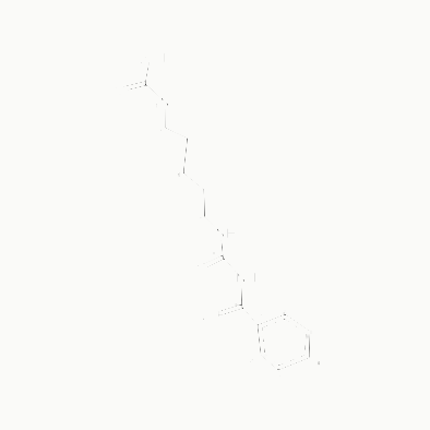 O=C(O)NCCCCCNC(=S)NC(=O)c1ccccc1